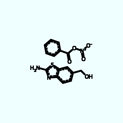 Nc1nc2ccc(CO)cc2s1.O=C(O[N+](=O)[O-])c1ccccc1